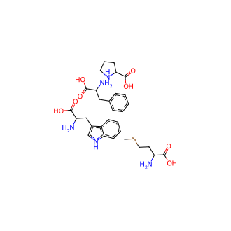 CSCCC(N)C(=O)O.NC(Cc1c[nH]c2ccccc12)C(=O)O.NC(Cc1ccccc1)C(=O)O.O=C(O)C1CCCN1